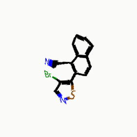 N#Cc1c(-c2sncc2Br)ccc2ccccc12